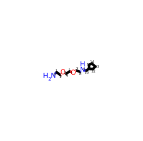 NCCOCCOCCNCC1CCCC1